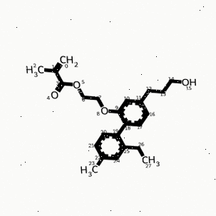 C=C(C)C(=O)OCCOc1cc(CCCO)ccc1-c1ccc(C)cc1CC